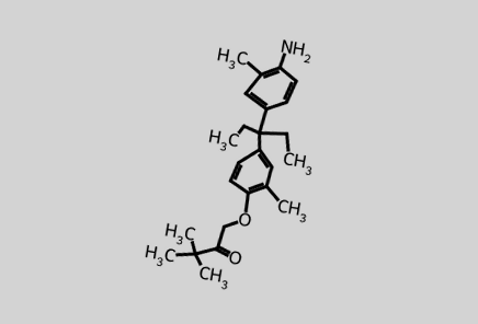 CCC(CC)(c1ccc(N)c(C)c1)c1ccc(OCC(=O)C(C)(C)C)c(C)c1